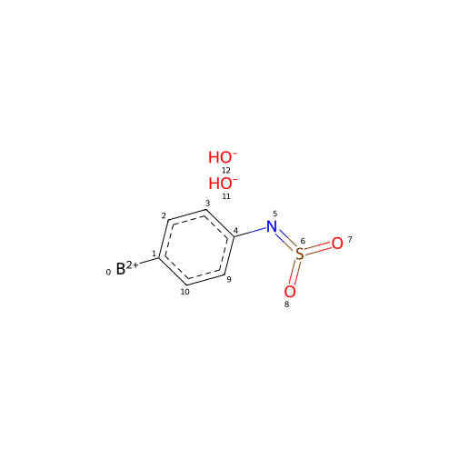 [B+2]c1ccc(N=S(=O)=O)cc1.[OH-].[OH-]